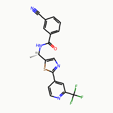 C[C@H](NC(=O)c1cccc(C#N)c1)c1cnc(-c2ccnc(C(F)(F)F)c2)s1